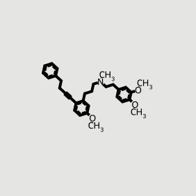 COc1ccc(C#CCCc2ccccc2)c(CCCN(C)CCc2ccc(OC)c(OC)c2)c1